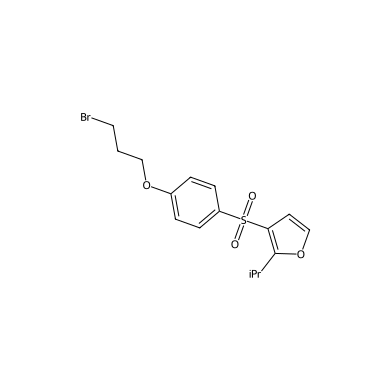 CC(C)c1occc1S(=O)(=O)c1ccc(OCCCBr)cc1